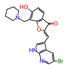 O=C1/C(=C/c2c[nH]c3ncc(Br)cc23)Oc2c1ccc(O)c2CN1CCCCC1